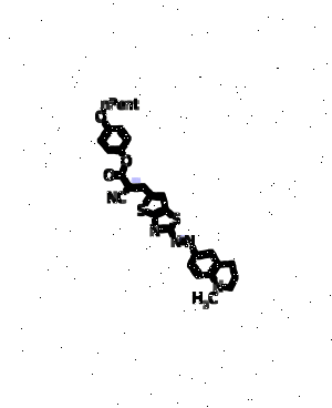 CCCCCOc1ccc(OC(=O)/C(C#N)=C/c2cc3sc(/N=N/c4ccc5c(c4)CCCN5C)nc3s2)cc1